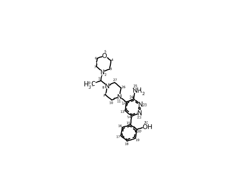 CC(N1CCOCC1)N1CCN(c2cc(-c3ccccc3O)nnc2N)CC1